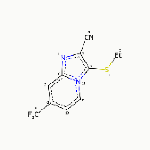 CCSc1c(C#N)nc2cc(C(F)(F)F)ccn12